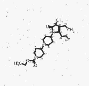 CCOC(=O)N1CCC(N2CCC(N3C(=O)C(C)C(CC)=C3CCF)CC2)CC1